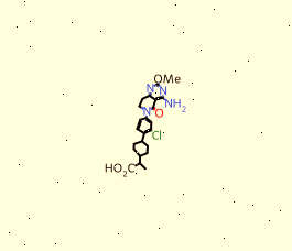 COc1nc(N)c2c(n1)CCN(c1ccc(C3CCC(C(C)C(=O)O)CC3)c(Cl)c1)C2=O